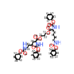 O=C(NCCCCC(NC(=O)Oc1ccccc1)C(=O)OCCCOC(=O)C(CCCCNC(=O)Oc1ccccc1)NC(=O)Oc1ccccc1)Oc1ccccc1